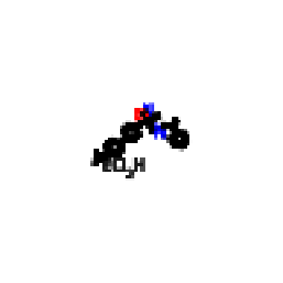 Cc1noc(-c2ccc(-c3ccc(C4(C(=O)O)CC4)cc3)cc2)c1CN(C)CC(C)c1ccccc1